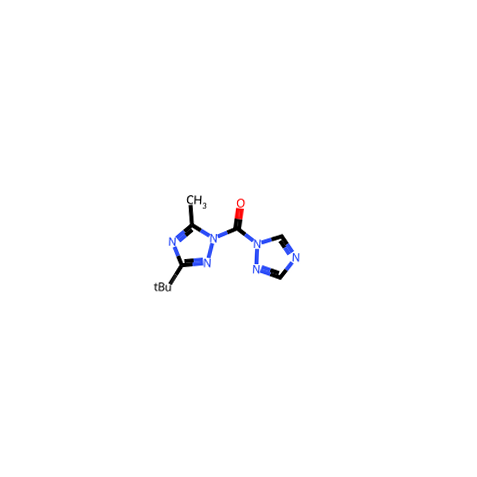 Cc1nc(C(C)(C)C)nn1C(=O)n1cncn1